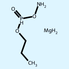 CCCO[PH](=O)ON.[MgH2]